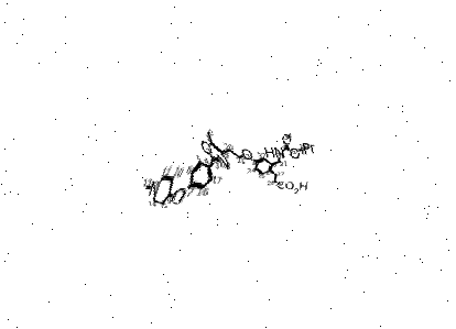 Cc1oc(-c2ccc(OC3CCN(C)CC3)cc2)nc1CCOc1ccc(CCC(=O)O)c(CNC(=O)OC(C)C)c1